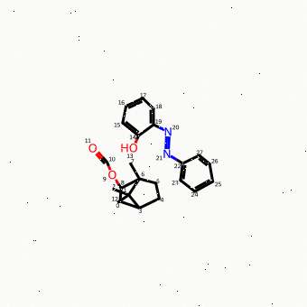 CC1(C)C2CCC1(C)C(OC=O)C2.Oc1ccccc1N=Nc1ccccc1